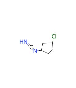 N=C=NC1CCC(Cl)C1